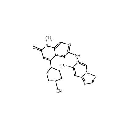 Cc1cc2ncnn2cc1Nc1ncc2c(n1)c(C1CCC(C#N)CC1)cc(=O)n2C